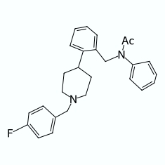 CC(=O)N(Cc1ccccc1C1CCN(Cc2ccc(F)cc2)CC1)c1ccccc1